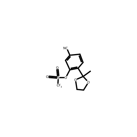 CC1(c2ccc(C#N)cc2OS(=O)(=O)C(F)(F)F)OCCO1